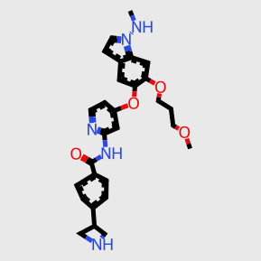 CNn1ccc2cc(Oc3ccnc(NC(=O)c4ccc(C5CNC5)cc4)c3)c(OCCCOC)cc21